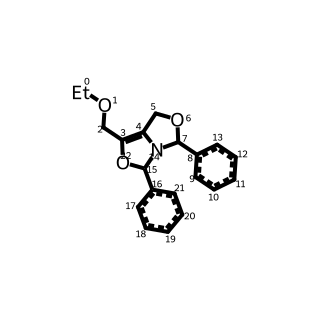 CCOCC1=C2COC(c3ccccc3)N2C(c2ccccc2)O1